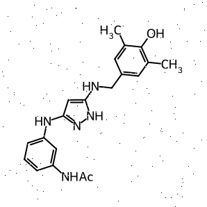 CC(=O)Nc1cccc(Nc2cc(NCc3cc(C)c(O)c(C)c3)[nH]n2)c1